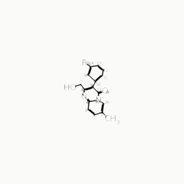 Cc1ccc2nc(CO)c(-c3cccc(F)c3)c(=O)n2c1